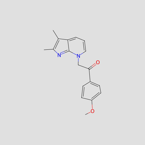 COc1ccc(C(=O)Cn2cccc3c(C)c(C)nc2-3)cc1